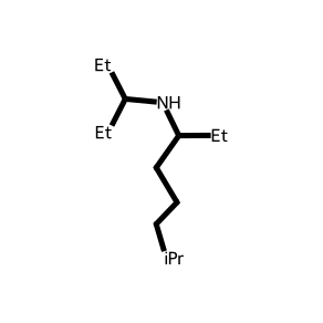 CCC(CC)NC(CC)CCCC(C)C